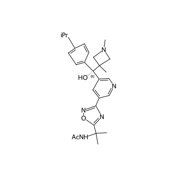 CC(=O)NC(C)(C)c1nc(-c2cncc([C@@](O)(c3ccc(C(C)C)cc3)C3(C)CN(C)C3)c2)no1